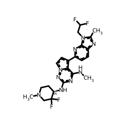 CNc1nc(N[C@@H]2CCN(C)CC2(F)F)nn2ccc(-c3ccc4nc(C)n(CC(F)F)c4n3)c12